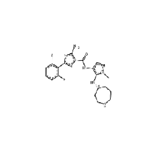 Cn1ncc(NC(=O)c2nc(-c3c(F)cccc3F)sc2N)c1N[C@@H]1CCCNCC1